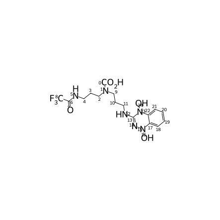 O=C(O)N(CCCNC(=O)C(F)(F)F)CCCNC1=NN(O)c2ccccc2N1O